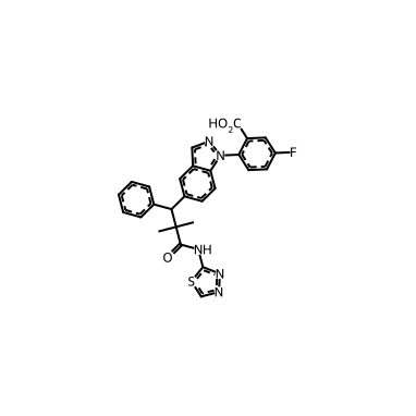 CC(C)(C(=O)Nc1nncs1)C(c1ccccc1)c1ccc2c(cnn2-c2ccc(F)cc2C(=O)O)c1